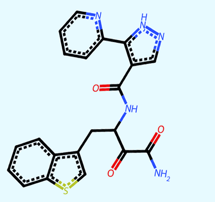 NC(=O)C(=O)C(Cc1csc2ccccc12)NC(=O)c1cn[nH]c1-c1ccccn1